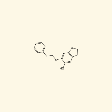 Oc1cc2c(cc1SCCc1ccccc1)OCC2